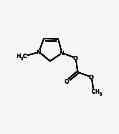 COC(=O)ON1C=CN(C)C1